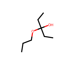 CCCOC(O)(CC)CC